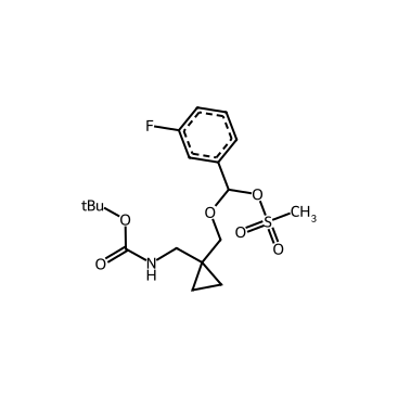 CC(C)(C)OC(=O)NCC1(COC(OS(C)(=O)=O)c2cccc(F)c2)CC1